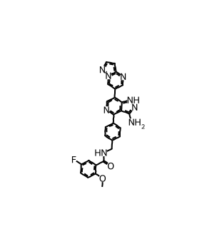 COc1ccc(F)cc1C(=O)NCc1ccc(-c2ncc(-c3cnc4ccnn4c3)c3[nH]nc(N)c23)cc1